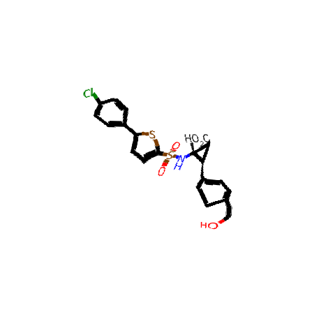 O=C(O)[C@@]1(NS(=O)(=O)c2ccc(-c3ccc(Cl)cc3)s2)C[C@H]1c1ccc(CO)cc1